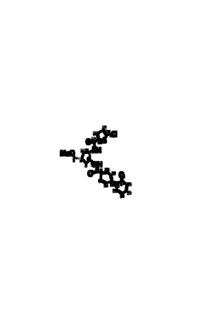 COC[C@H]1C[C@H](NC(=O)c2ccc(-n3ccccc3=O)cc2)[C@H](NC(=O)c2ccc(Cl)s2)C1